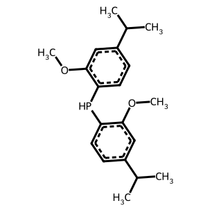 COc1cc(C(C)C)ccc1Pc1ccc(C(C)C)cc1OC